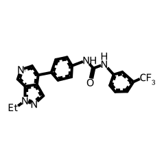 CCn1ncc2c(-c3ccc(NC(=O)Nc4cccc(C(F)(F)F)c4)cc3)cncc21